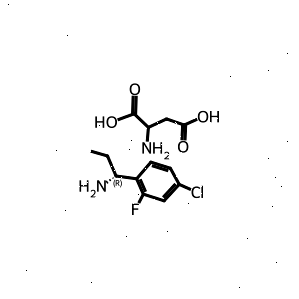 CC[C@@H](N)c1ccc(Cl)cc1F.NC(CC(=O)O)C(=O)O